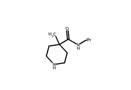 CC(C)NC(=O)C1(C)CCNCC1